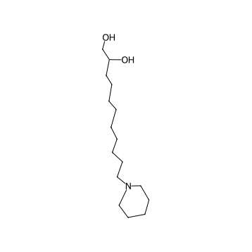 OCC(O)CCCCCCCCCN1CCCCC1